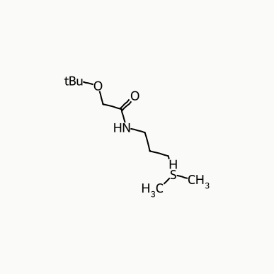 C[SH](C)CCCNC(=O)COC(C)(C)C